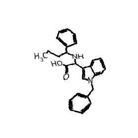 CCCC(NC(C(=O)O)c1cn(Cc2ccccc2)c2ccccc12)c1ccccc1